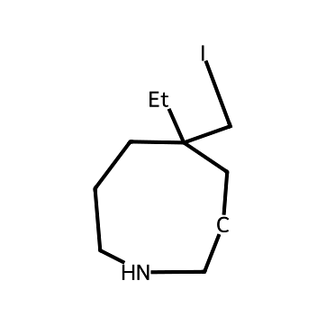 CCC1(CI)CCCNCCC1